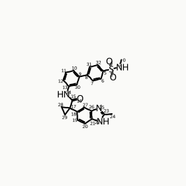 CNS(=O)(=O)c1ccc(-c2cccc(NC(=O)C3(c4ccc5[nH]c(C)nc5c4)CC3)c2)cc1